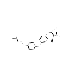 C#Cc1c(C)nn(C)c1Oc1ccc(Oc2ccc(OCC=C(Cl)Cl)cc2)cc1